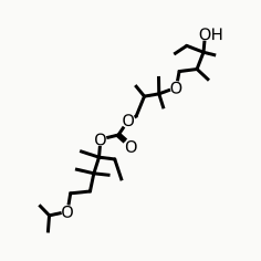 CCC(C)(O)C(C)COC(C)(C)C(C)COC(=O)OC(C)(CC)C(C)(C)CCOC(C)C